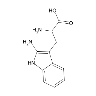 Nc1[nH]c2ccccc2c1CC(N)C(=O)O